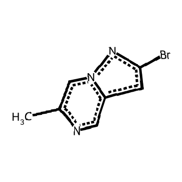 Cc1cn2nc(Br)cc2cn1